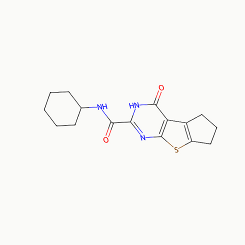 O=C(NC1CCCCC1)c1nc2sc3c(c2c(=O)[nH]1)CCC3